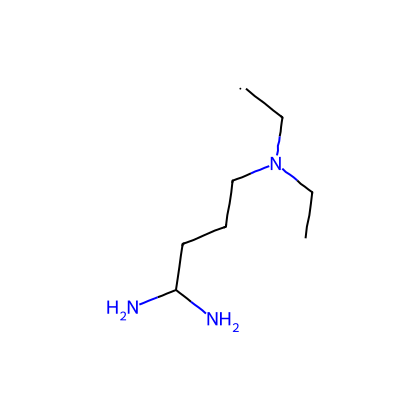 [CH2]CN(CC)CCCC(N)N